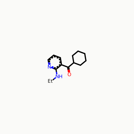 CCNc1ncccc1C(=O)C1CCCCC1